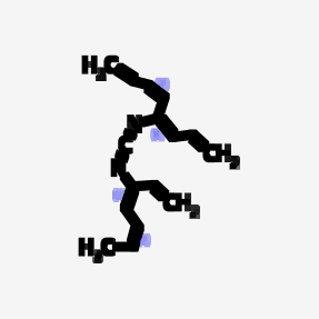 C=C/C=C\C(=C/C=C)N=C=N/C(C=C)=C/C=C\C